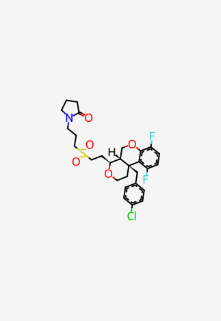 O=C1CCCN1CCCS(=O)(=O)CC[C@@H]1OCC[C@@]2(Cc3ccc(Cl)cc3)c3c(F)ccc(F)c3OC[C@@H]12